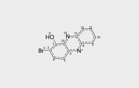 Oc1c(Br)ccc2nc3ccccc3nc12